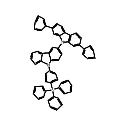 c1ccc(-c2ccc3c4ccc(-c5ccccc5)cc4n(-c4ccc5c(c4)c4ccccc4n5-c4ccc([Si](c5ccccc5)(c5ccccc5)c5ccccc5)cc4)c3c2)cc1